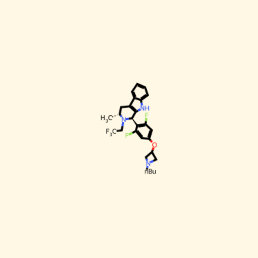 CCCCN1CC(Oc2cc(F)c([C@@H]3c4[nH]c5ccccc5c4C[C@@H](C)N3CC(F)(F)F)c(F)c2)C1